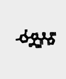 Cc1ccc(-c2csc(NC(=O)c3sccc3O)c2C(=O)O)c(F)c1